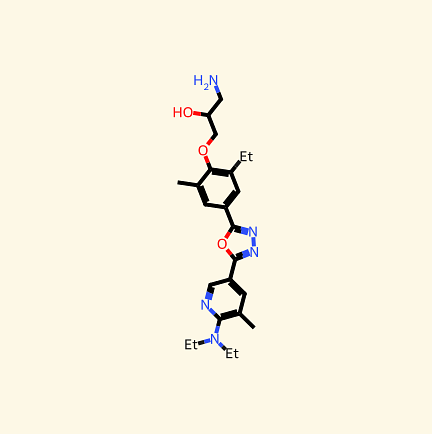 CCc1cc(-c2nnc(-c3cnc(N(CC)CC)c(C)c3)o2)cc(C)c1OCC(O)CN